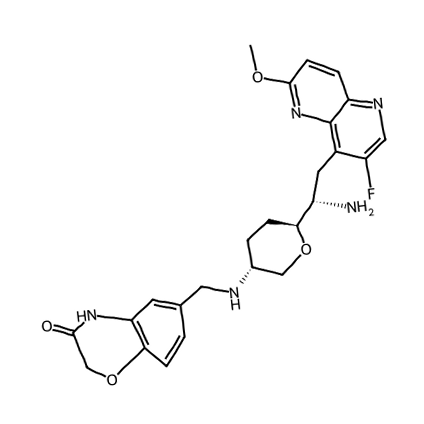 COc1ccc2ncc(F)c(C[C@H](N)[C@@H]3CC[C@@H](NCc4ccc5c(c4)NC(=O)CO5)CO3)c2n1